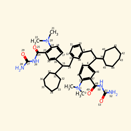 CN(C)c1ccc(C(Cc2cccc(CC(c3ccc(N(C)C)c(C(=O)NC(N)=O)c3)C3CCCCCC3)c2)C2CCCCCC2)cc1C(=O)NC(N)=O